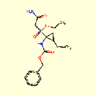 C=CC1CC1(NC(=O)OCc1ccccc1)P(=O)(CC(N)=O)OCC